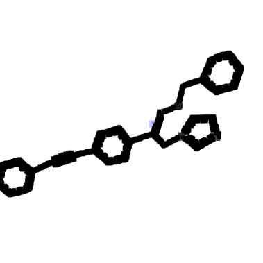 C(#Cc1ccc(/C(Cn2ccnc2)=N/OCc2ccccc2)cc1)c1ccccc1